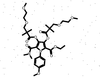 CCOC(=O)c1c(OC(=O)C(C)(C)COCCOC)c(OC(=O)C(C)(C)COCCOC)c(C(=O)N(C)C)n1-c1ccc(OC)cc1